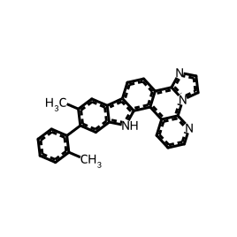 Cc1ccccc1-c1cc2[nH]c3c(ccc4c3c3cccnc3n3ccnc43)c2cc1C